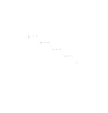 C=C(CCCCCBr)C(=O)O